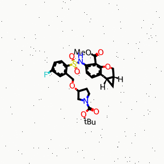 COC(=O)c1c(NS(=O)(=O)c2ccc(F)cc2COC2CCN(C(=O)OC(C)(C)C)C2)ccc2c1OC[C@@H]1C[C@H]21